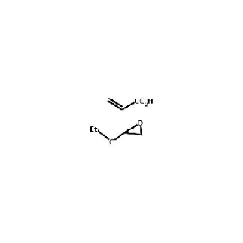 C=CC(=O)O.CCOC1CO1